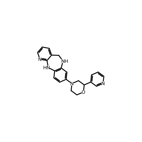 c1cncc(C2CN(c3ccc4c(c3)NCc3cccnc3N4)CCO2)c1